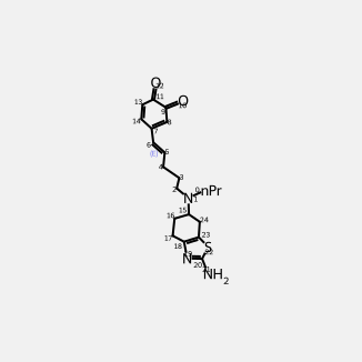 CCCN(CCC/C=C/C1=CC(=O)C(=O)C=C1)C1CCc2nc(N)sc2C1